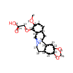 COc1ccc2cc3[n+](cc2c1OCC(=O)O)CCc1cc2c(cc1-3)OCO2